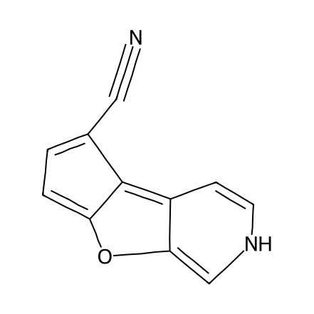 N#Cc1ccc2oc3c[nH]ccc3c12